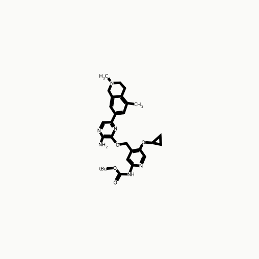 Cc1cc(-c2cnc(N)c(OCc3cc(NC(=O)OC(C)(C)C)ncc3OC3CC3)n2)cc2c1CCN(C)C2